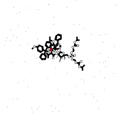 CCOc1nc(NC(c2ccccc2)(c2ccccc2)c2ccc(OC)cc2)nc2c1ncn2[C@@H]1O[C@](F)(COP(=O)(OCOC(=O)OC(C)C)OCOC(=O)OC(C)C)[C@@H](F)[C@@]1(C)OC(=O)C(NC(=O)OCc1ccccc1)C(C)C